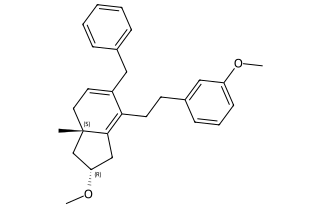 COc1cccc(CCC2=C3C[C@H](OC)C[C@]3(C)CC=C2Cc2ccccc2)c1